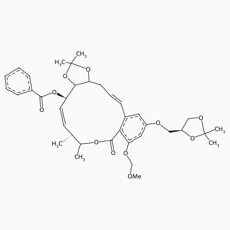 COCOc1cc(OC[C@H]2COC(C)(C)O2)cc2c1C(=O)OC(C)[C@H](C)/C=C\[C@@H](OC(=O)c1ccccc1)C1OC(C)(C)OC1C/C=C/2